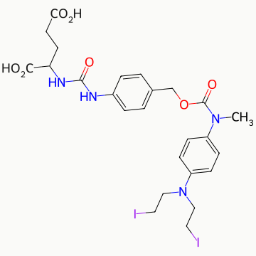 CN(C(=O)OCc1ccc(NC(=O)NC(CCC(=O)O)C(=O)O)cc1)c1ccc(N(CCI)CCI)cc1